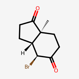 C[C@]12CCC(=O)[C@@H](Br)[C@@H]1CCC2=O